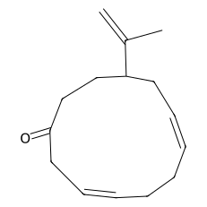 C=C(C)C1CC=CCCC=CCC(=O)CC1